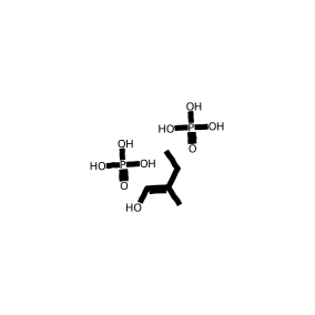 CCC(C)=CO.O=P(O)(O)O.O=P(O)(O)O